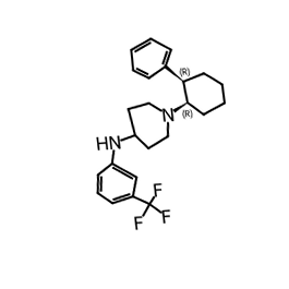 FC(F)(F)c1cccc(NC2CCN([C@@H]3CCCC[C@@H]3c3ccccc3)CC2)c1